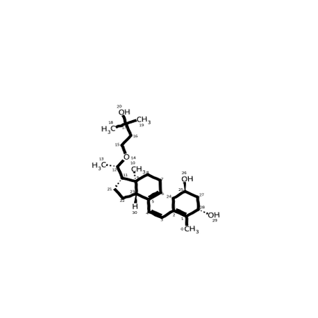 CC1=C(/C=C\C2=CCC[C@]3(C)[C@@H]([C@H](C)OCCC(C)(C)O)CC[C@@H]23)C[C@@H](O)C[C@@H]1O